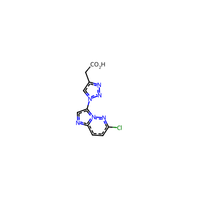 O=C(O)Cc1cn(-c2cnc3ccc(Cl)nn23)nn1